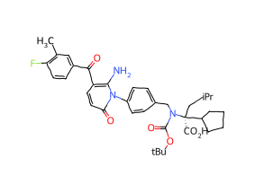 Cc1cc(C(=O)c2ccc(=O)n(-c3ccc(CN(C(=O)OC(C)(C)C)[C@](CC(C)C)(C(=O)O)C4CCCC4)cc3)c2N)ccc1F